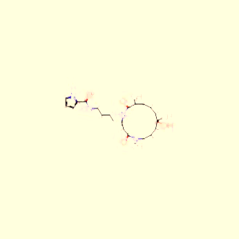 CC1CCCC(C)(O)CCCN(C)C(=O)C[C@H](CCCCNC(=O)c2ccc[nH]2)NC1=O